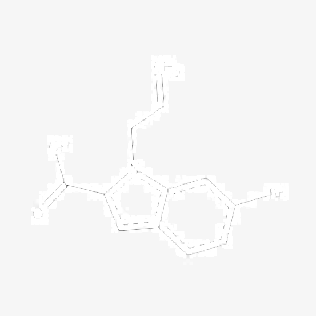 C=CCn1c(C(=O)O)cc2ccc(Br)cc21